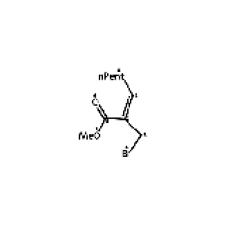 CCCCCC=C(CBr)C(=O)OC